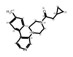 Cc1ccc(-c2ccncc2N2CCN(C(=O)CC3CC3)CC2)cc1